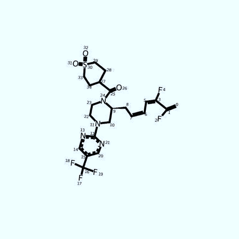 C=C(F)/C(F)=C\C=C/C[C@H]1CN(c2ncc(C(F)(F)F)cn2)CCN1C(=O)C1CCS(=O)(=O)CC1